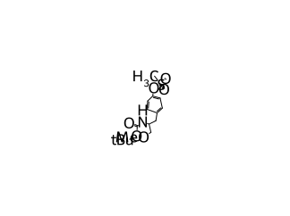 COCC(Cc1ccc(OS(C)(=O)=O)cc1)NC(=O)OC(C)(C)C